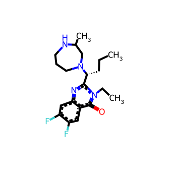 CCC[C@H](c1nc2cc(F)c(F)cc2c(=O)n1CC)N1CCCNC(C)C1